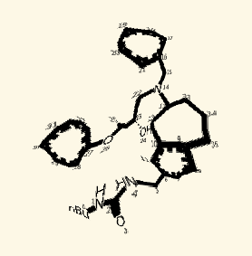 CCCCNC(=O)NCc1ccc2c(c1)CC(N(Cc1ccccc1)C[C@H](O)COc1ccccc1)CCC2